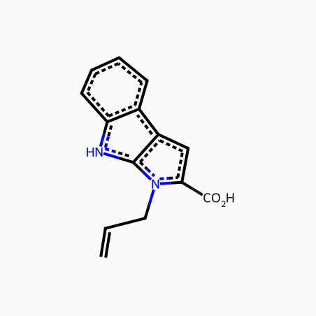 C=CCn1c(C(=O)O)cc2c3ccccc3[nH]c21